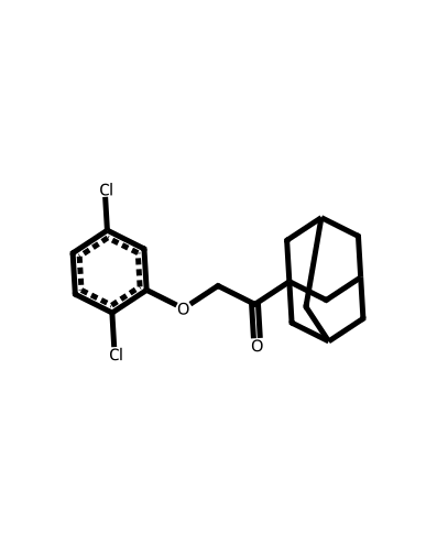 O=C(COc1cc(Cl)ccc1Cl)C12CC3CC(CC(C3)C1)C2